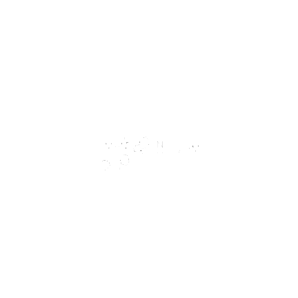 CNC(=O)c1c(-c2ccc(Oc3ccc(F)cc3)cc2)oc2cc(CNCCCC(=O)OC)c(C3CC3)cc12